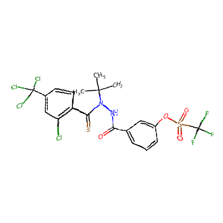 CC(C)(C)N(NC(=O)c1cccc(OS(=O)(=O)C(F)(F)F)c1)C(=S)c1ccc(C(Cl)(Cl)Cl)cc1Cl